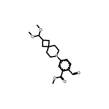 COC(=O)c1cc(N2CCC3(CC2)CC(C(OC)OC)C3)ccc1C=O